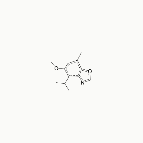 COc1cc(C)c2ocnc2c1C(C)C